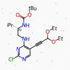 CCOC(C#Cc1cnc(Cl)nc1NC[C@@H](NC(=O)OC(C)(C)C)C(C)C)OCC